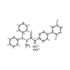 Cc1ncc(C)c(-c2ccc(NC(=O)C(N)C(c3ccccc3)c3ccccc3)cc2)n1.Cl.Cl